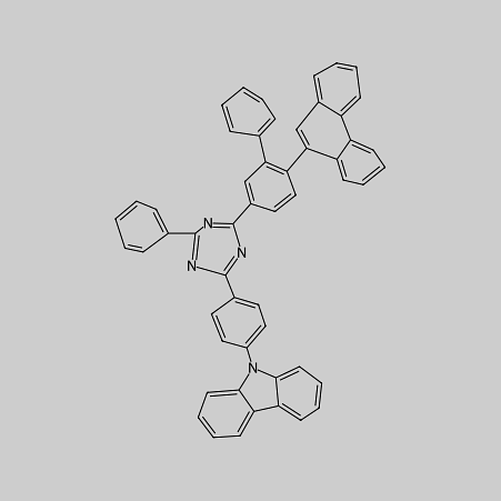 c1ccc(-c2nc(-c3ccc(-n4c5ccccc5c5ccccc54)cc3)nc(-c3ccc(-c4cc5ccccc5c5ccccc45)c(-c4ccccc4)c3)n2)cc1